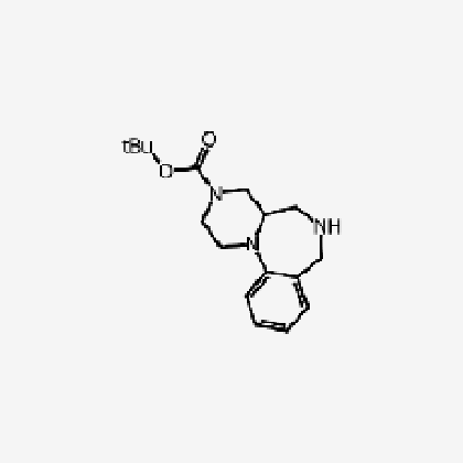 CC(C)(C)OC(=O)N1CCN2c3ccccc3CNCC2C1